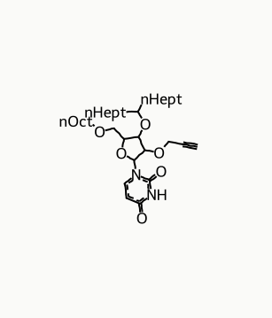 C#CCOC1C(OC(CCCCCCC)CCCCCCC)C(COCCCCCCCC)OC1n1ccc(=O)[nH]c1=O